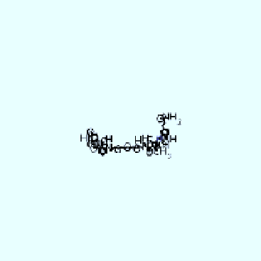 Cc1[nH]c(/C=C2\C(=O)Nc3ccc(CCC(N)=O)cc32)c(C)c1C(=O)NCCOCCOCCOCCNc1cccc2c1C(=O)N([C@@H]1CCC(=O)NC1=O)C2=O